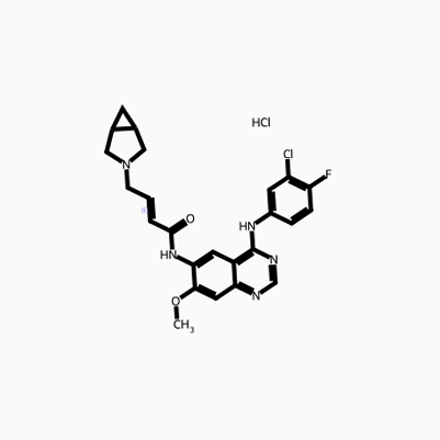 COc1cc2ncnc(Nc3ccc(F)c(Cl)c3)c2cc1NC(=O)/C=C/CN1CC2CC2C1.Cl